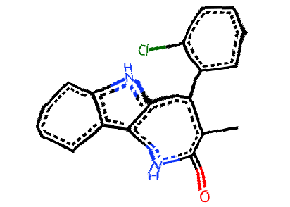 Cc1c(-c2ccccc2Cl)c2[nH]c3ccccc3c2[nH]c1=O